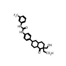 O=C(O)CC1(CO)CCC2CC(c3ccc(NC(=O)Nc4cccc(C(F)(F)F)c4)cc3)CCC2C1=O